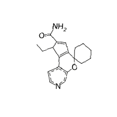 CCC1C(C(N)=O)=CC2=C1c1ccncc1OC21CCCCC1